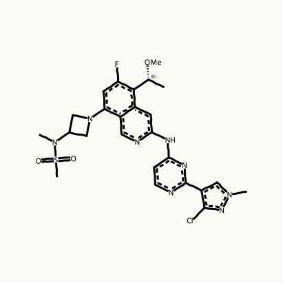 CO[C@H](C)c1c(F)cc(N2CC(N(C)S(C)(=O)=O)C2)c2cnc(Nc3ccnc(-c4cn(C)nc4Cl)n3)cc12